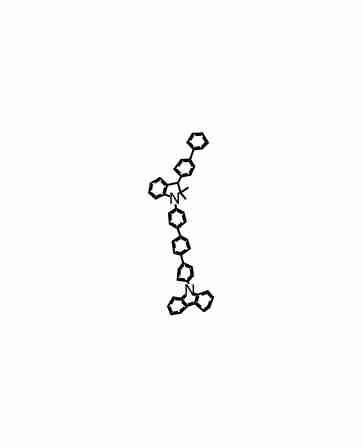 CC1(C)C(c2ccc(-c3ccccc3)cc2)c2ccccc2N1c1ccc(-c2ccc(-c3ccc(-n4c5ccccc5c5ccccc54)cc3)cc2)cc1